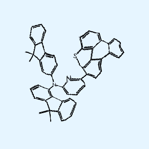 CC1(C)c2ccccc2-c2ccc(N(c3cccc(-c4ccc5c6ccccc6c6cccc7sc4c5c76)n3)c3cccc4c3-c3ccccc3C4(C)C)cc21